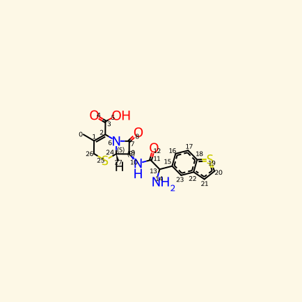 CC1=C(C(=O)O)N2C(=O)[C@@H](NC(=O)C(N)c3ccc4sccc4c3)[C@@H]2SC1